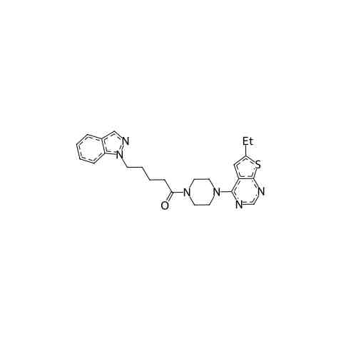 CCc1cc2c(N3CCN(C(=O)CCCCn4ncc5ccccc54)CC3)ncnc2s1